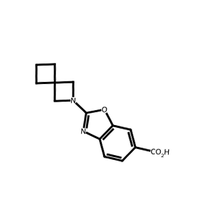 O=C(O)c1ccc2nc(N3CC4(CCC4)C3)oc2c1